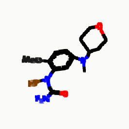 COc1ccc(N(C)C2CCOCC2)cc1N(S)C(N)=O